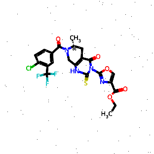 CCOC(=O)c1coc(-n2c(=S)[nH]c3c(c2=O)C[C@@H](C)N(C(=O)c2ccc(Cl)c(C(F)(F)F)c2)C3)n1